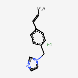 Cl.O=C(O)C=Cc1ccc(Cn2ccnc2)cc1